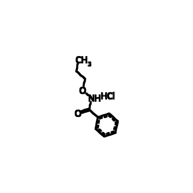 CCCONC(=O)c1ccccc1.Cl